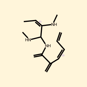 C=C/C=C\C(=C)C(=C)NC(NC)/C(=C\C)NC